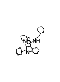 O=C(NCCC1CCCCC1)c1c(C[N+]2([O-])CCCC2)c(-c2ccccc2)nc2ccccc12